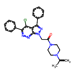 C=C(C)N1CCN(C(=O)Cn2nc(-c3ccccc3)c3c(Cl)c(-c4ccccc4)nnc32)CC1